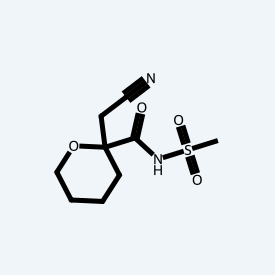 CS(=O)(=O)NC(=O)C1(CC#N)CCCCO1